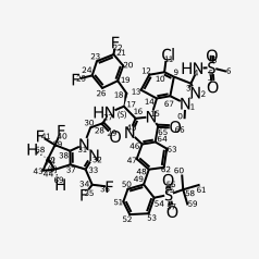 Cn1nc(NS(C)(=O)=O)c2c(Cl)ccc(-n3c([C@H](Cc4cc(F)cc(F)c4)NC(=O)Cn4nc(C(F)F)c5c4C(F)(F)[C@@H]4C[C@H]54)nc4cc(-c5ccccc5S(=O)(=O)C(C)(C)C)ccc4c3=O)c21